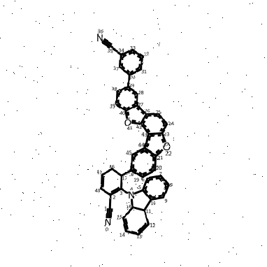 N#CC1=C(N2c3ccccc3C3C=CC=CC32)C(c2ccc3oc4ccc5c6cc(-c7cccc(C#N)c7)ccc6oc5c4c3c2)CC=C1